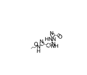 CCCC(=O)Nc1cncc(-c2ccc3[nH]nc(-c4nc5c(-c6ccoc6)cncc5[nH]4)c3c2)c1